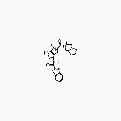 CC1CN2CCCC2CN1C(=O)N1Cc2c(NC(=O)c3nc4ccccc4s3)n[nH]c2C1C